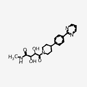 CNC(=O)[C@H](O)[C@@H](O)C(=O)N1CCC(c2ccc(-c3ncccn3)cc2)CC1